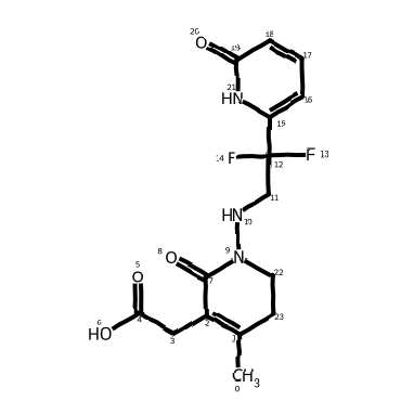 CC1=C(CC(=O)O)C(=O)N(NCC(F)(F)c2cccc(=O)[nH]2)CC1